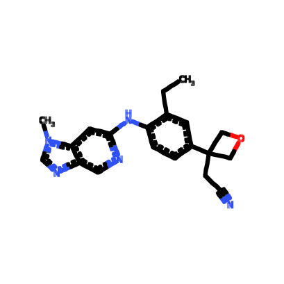 CCc1cc(C2(CC#N)COC2)ccc1Nc1cc2c(cn1)ncn2C